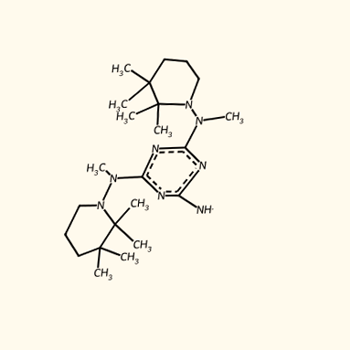 CN(c1nc([NH])nc(N(C)N2CCCC(C)(C)C2(C)C)n1)N1CCCC(C)(C)C1(C)C